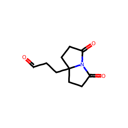 O=[C]CCC12CCC(=O)N1C(=O)CC2